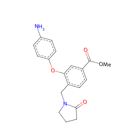 COC(=O)c1ccc(CN2CCCC2=O)c(Oc2ccc(N)cc2)c1